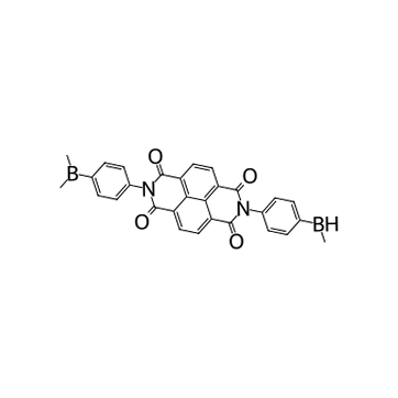 CBc1ccc(N2C(=O)c3ccc4c5c(ccc(c35)C2=O)C(=O)N(c2ccc(B(C)C)cc2)C4=O)cc1